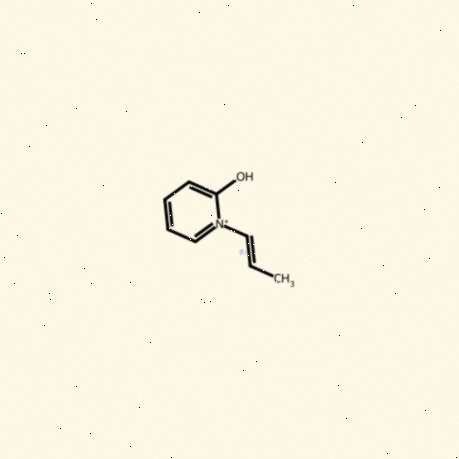 C/C=C/[n+]1ccccc1O